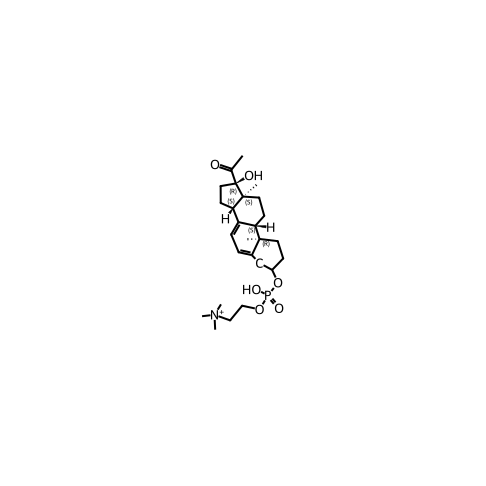 CC(=O)[C@@]1(O)CC[C@H]2C3=CC=C4CC(OP(=O)(O)OCC[N+](C)(C)C)CC[C@]4(C)[C@H]3CC[C@@]21C